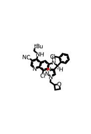 [2H]C(Nc1cc(Cl)c2ncc(C#N)c(NCC(C)(C)C)c2c1)(c1cn(CC2CCO2)nn1)c1ccccc1Cl